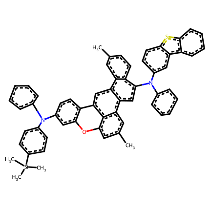 Cc1ccc2c(N(c3ccccc3)c3ccc4sc5ccccc5c4c3)cc3c4cc(C)cc5c4c(cc3c2c1)-c1ccc(N(c2ccccc2)c2ccc([Si](C)(C)C)cc2)cc1O5